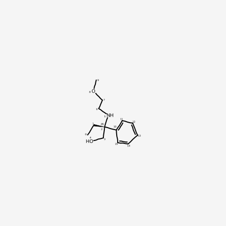 CC[C@@](CO)(NCCOC)c1ccccc1